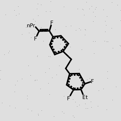 CCC/C(F)=C(\F)c1ccc(CCc2cc(F)c(CC)c(F)c2)cc1